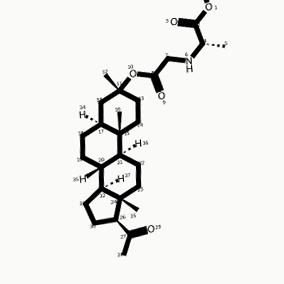 COC(=O)[C@H](C)NCC(=O)O[C@]1(C)CC[C@@]2(C)[C@@H](CC[C@@H]3[C@@H]2CC[C@]2(C)[C@@H](C(C)=O)CC[C@@H]32)C1